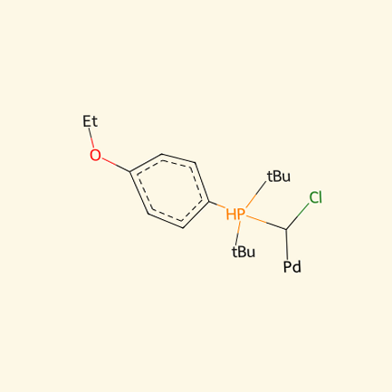 CCOc1ccc([PH]([CH](Cl)[Pd])(C(C)(C)C)C(C)(C)C)cc1